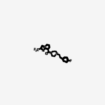 O=C(c1cccn2cc(C(F)(F)F)nc12)N1CCN(CCc2ccc(F)cc2)CC1